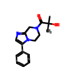 CC(O)(C(=O)N1CCn2c(-c3ccccc3)cnc2C1)C(F)(F)F